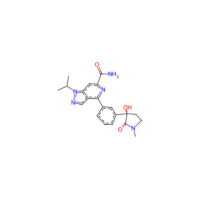 CC(C)n1ncc2c(-c3cccc([C@]4(O)CCN(C)C4=O)c3)nc(C(N)=O)cc21